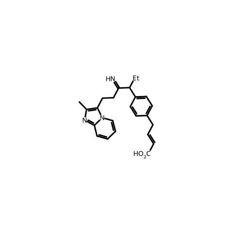 CCC(C(=N)CCc1c(C)nc2ccccn12)c1ccc(C/C=C/C(=O)O)cc1